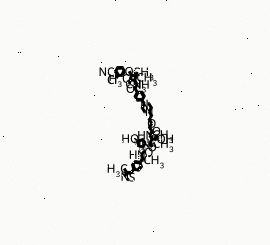 Cc1ncsc1-c1ccc([C@H](C)NC(=O)[C@@H]2C[C@@H](O)CN2C(=O)C(NC(=O)COCCN2CCN(c3ccc(C(=O)NC4C(C)(C)C(Oc5ccc(C#N)c(Cl)c5)C4(C)C)cc3)CC2)C(C)(C)O)cc1